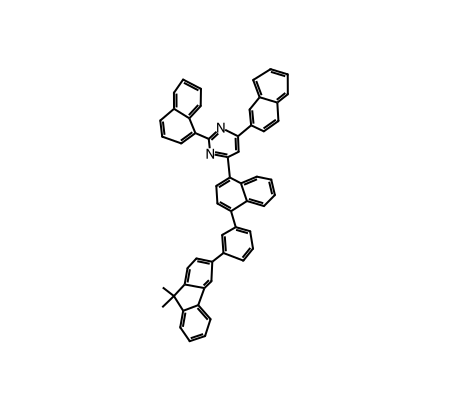 CC1(C)c2ccccc2-c2cc(-c3cccc(-c4ccc(-c5cc(-c6ccc7ccccc7c6)nc(-c6cccc7ccccc67)n5)c5ccccc45)c3)ccc21